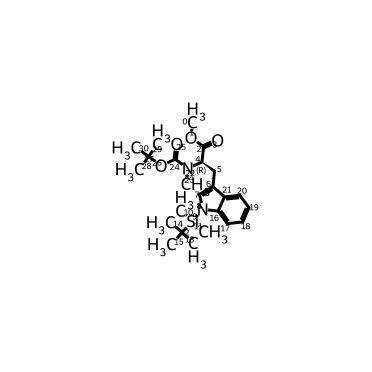 COC(=O)[C@@H](Cc1cn([Si](C)(C)C(C)(C)C)c2ccccc12)N(C)C(=O)OC(C)(C)C